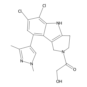 Cc1nn(C)cc1-c1cc(Cl)c(Cl)c2[nH]c3c(c12)CN(C(=O)CO)CC3